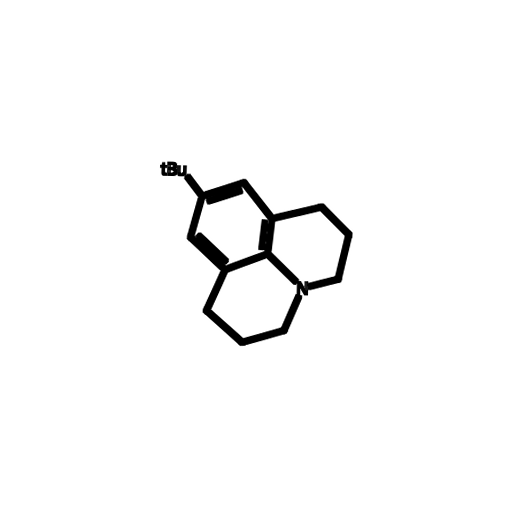 CC(C)(C)c1cc2c3c(c1)CCCN3CCC2